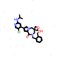 CC(C)Nc1cc(-c2cc3n(c2)CC2(COC2)CN(Cc2ccccc2CO)C3=O)c(Cl)cn1